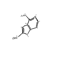 CC(=O)Nc1nccc2sc(C=O)cc12